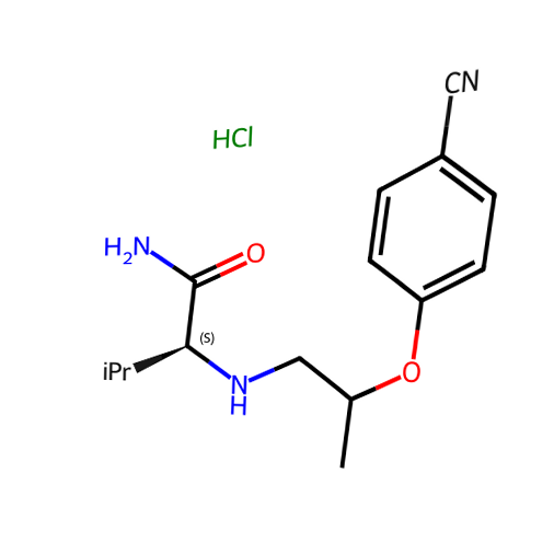 CC(CN[C@H](C(N)=O)C(C)C)Oc1ccc(C#N)cc1.Cl